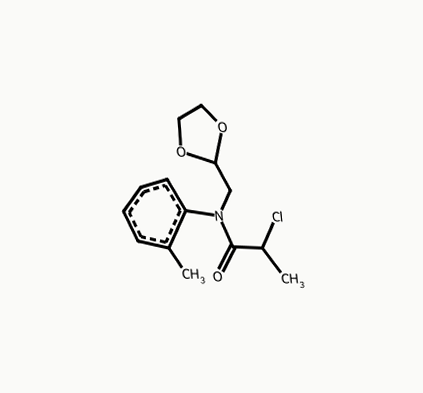 Cc1ccccc1N(CC1OCCO1)C(=O)C(C)Cl